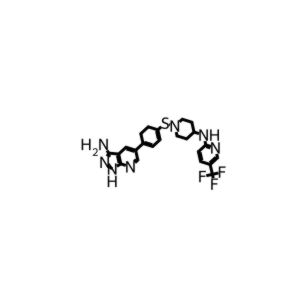 Nc1n[nH]c2ncc(C3=CC=C(SN4CCC(Nc5ccc(C(F)(F)F)cn5)CC4)CC3)cc12